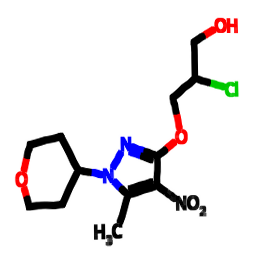 Cc1c([N+](=O)[O-])c(OCC(Cl)CO)nn1C1CCOCC1